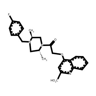 C[C@@H]1CN(Cc2ccc(F)cc2)[C@@H](C)CN1C(=O)COc1cc(C(=O)O)nc2ccccc12